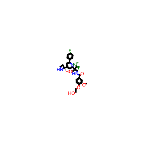 COc1cc(C(=O)NCC(CO)(c2cc([C@]3(C)CCN3)cc(-c3ccc(F)cc3)n2)C(F)(F)F)ccc1OCCO